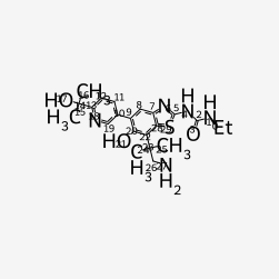 CCNC(=O)Nc1nc2cc(-c3ccc(C(C)(C)O)nc3)c(O)c(C(C)(C)CN)c2s1